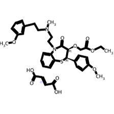 CCOC(=O)CO[C@@H]1C(=O)N(CCN(C)CCc2cccc(OC)c2)c2ccccc2S[C@@H]1c1ccc(OC)cc1.O=C(O)/C=C/C(=O)O